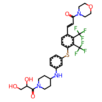 O=C(C=Cc1ccc(Sc2cccc(NC3CCN(C(=O)C(O)CO)CC3)c2)c(C(F)(F)F)c1C(F)(F)F)N1CCOCC1